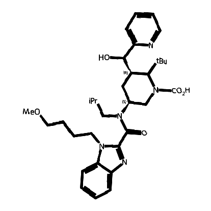 COCCCCn1c(C(=O)N(CC(C)C)[C@H]2C[C@@H](C(O)c3ccccn3)C(C(C)(C)C)N(C(=O)O)C2)nc2ccccc21